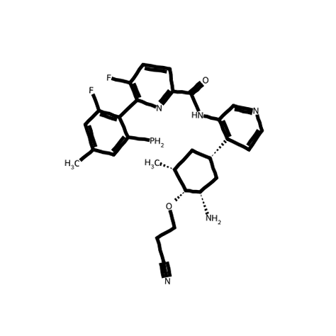 Cc1cc(F)c(-c2nc(C(=O)Nc3cnccc3[C@H]3C[C@@H](C)[C@@H](OCCC#N)[C@@H](N)C3)ccc2F)c(P)c1